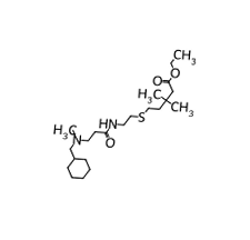 CCOC(=O)CC(C)(C)CCSCCNC(=O)CCN(C)CC1CCCCC1